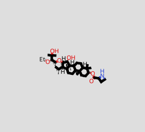 CCO[C@@H]([C@H]1C[C@@H](C)[C@H]2[C@H](O1)[C@H](O)[C@@]1(C)[C@@H]3CC[C@H]4C(C)(C)[C@@H](OC(=O)C5CCN5)CCC45C[C@@]35CC[C@]21C)C(C)(C)O